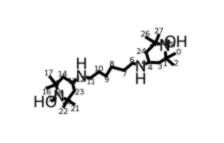 CC1(C)CC(NCCCCCCNC2CC(C)(C)N(O)C(C)(C)C2)CC(C)(C)N1O